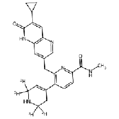 [2H]C1([2H])C=C(c2ccc(C(=O)NC)nc2Cc2cnc3cc(C4CC4)c(=O)[nH]c3c2)CC([2H])([2H])N1